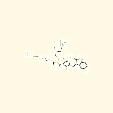 CCN(CC)CCN(C(=O)OCCOCCN)C(=O)c1c(C)[nH]c(/C=C2\C(=O)Nc3ccc(F)cc32)c1C.Cl.Cl.Cl